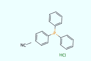 CC#N.Cl.c1ccc(P(c2ccccc2)c2ccccc2)cc1